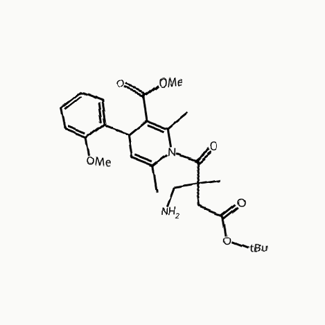 COC(=O)C1=C(C)N(C(=O)C(C)(CN)CC(=O)OC(C)(C)C)C(C)=CC1c1ccccc1OC